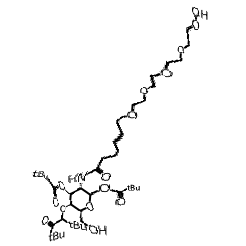 CC(C)(C)C(=O)OC1O[C@@H](CO)[C@@H](OC(C(=O)C(C)(C)C)C(C)(C)C)[C@@H](OC(=O)C(C)(C)C)[C@@H]1NC(=O)CCCCCOCCOCCOCCOCCOO